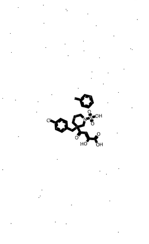 Cc1ccccc1.O=C(O)C(O)=CC(=O)C1(Cc2ccc(Cl)cc2)CCCN(S(=O)(=O)O)C1